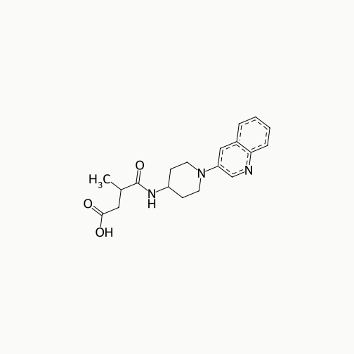 CC(CC(=O)O)C(=O)NC1CCN(c2cnc3ccccc3c2)CC1